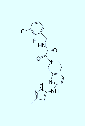 Cc1cc(Nc2ccc3c(n2)CN(C(=O)C(=O)NCc2cccc(Cl)c2F)CC3)[nH]n1